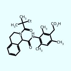 CCC(C)(C)C(=O)N1CCc2ccccc2C1C(=O)Nc1c(C)cc(C)c(CC(=O)O)c1C